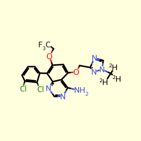 [2H]C([2H])([2H])n1cnc(COc2cc(OCC(F)(F)F)c(-c3cccc(Cl)c3Cl)c3ncnc(N)c23)n1